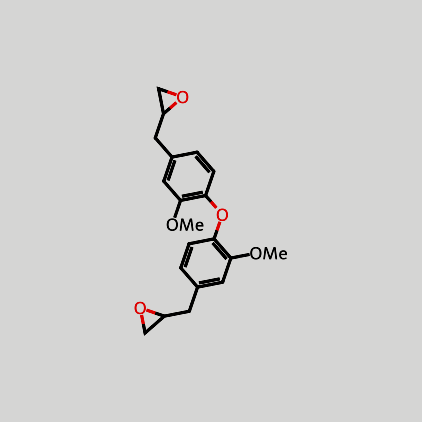 COc1cc(CC2CO2)ccc1Oc1ccc(CC2CO2)cc1OC